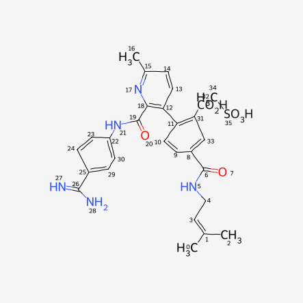 CC(C)=CCNC(=O)c1ccc(-c2ccc(C)nc2C(=O)Nc2ccc(C(=N)N)cc2)c(C(=O)O)c1.CS(=O)(=O)O